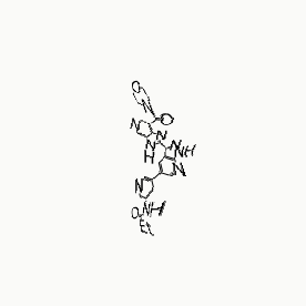 CCC(=O)Nc1cncc(-c2cnc3[nH]nc(-c4nc5c(C(=O)N6CCOCC6)cncc5[nH]4)c3c2)c1